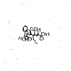 CCCCC(C(=Cc1ccccc1)S(=O)(=O)O)=C(C=C(C)C(=O)O)C(=O)O